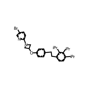 CC(C)c1ccc(CCc2ccc(OC3CN(c4ccc(Br)cn4)C3)cc2)c(C(C)C)c1C(C)C